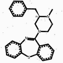 CN1CCN(C2=Nc3ccccc3Sc3ccccc32)C[C@H]1Cc1ccccc1